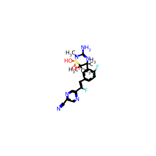 CN1C(N)=N[C@](C)(c2cc(/C=C(\F)c3cnc(C#N)cn3)ccc2F)C(C)(C)S1(O)O